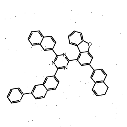 C1=Cc2cc(-c3cc(-c4nc(-c5ccc6ccccc6c5)nc(-c5ccc6ccc(-c7ccccc7)cc6c5)n4)c4c(c3)oc3ccccc34)ccc2CC1